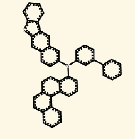 c1ccc(-c2cccc(N(c3ccc4cc5sc6ccccc6c5cc4c3)c3cccc4c3ccc3ccc5ccccc5c34)c2)cc1